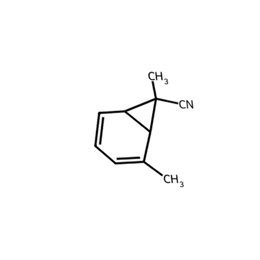 CC1=CC=CC2C1C2(C)C#N